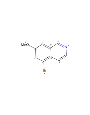 COc1cc(Br)c2ccncc2c1